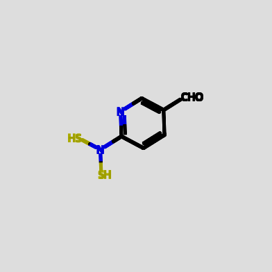 O=Cc1ccc(N(S)S)nc1